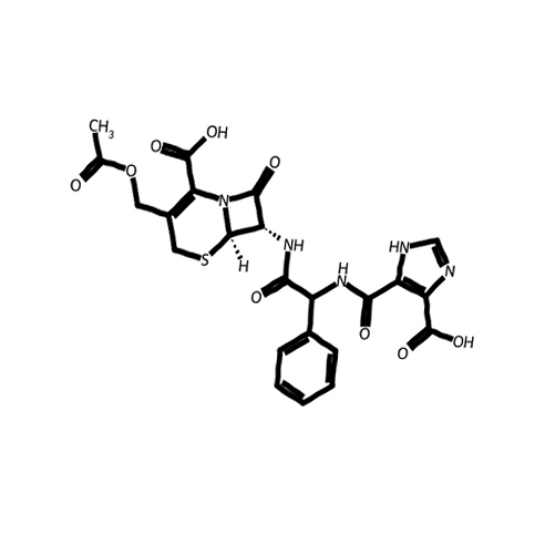 CC(=O)OCC1=C(C(=O)O)N2C(=O)[C@H](NC(=O)C(NC(=O)c3[nH]cnc3C(=O)O)c3ccccc3)[C@H]2SC1